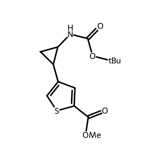 COC(=O)c1cc(C2CC2NC(=O)OC(C)(C)C)cs1